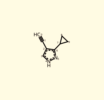 C#Cc1c[nH]nc1C1CC1